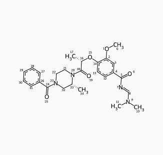 COc1cc(C(=O)N=CN(C)C)ccc1O[C@@H](C)C(=O)N1CCN(C(=O)c2ccccc2)C[C@H]1C